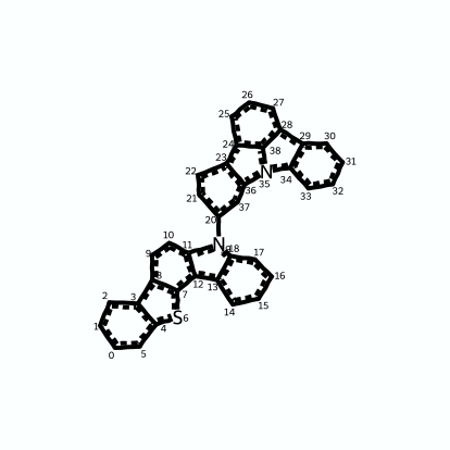 c1ccc2c(c1)sc1c2ccc2c1c1ccccc1n2-c1ccc2c3cccc4c5ccccc5n(c2c1)c43